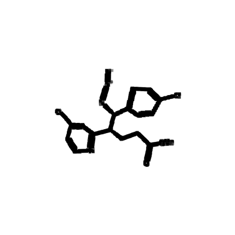 COC(=O)CC[C@@H](c1cc(Cl)ccn1)[C@@H](N=[N+]=[N-])c1ccc(Cl)cc1